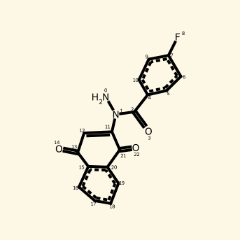 NN(C(=O)c1ccc(F)cc1)C1=CC(=O)c2ccccc2C1=O